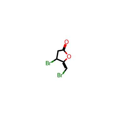 O=C1CC(Br)C(=CBr)O1